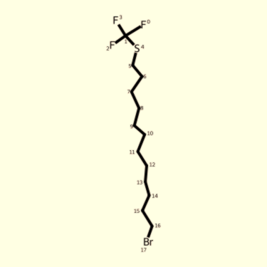 FC(F)(F)SCCCCCCCCCCCCBr